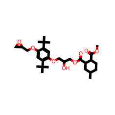 COC(=O)C1CCC(C)CC1C(=O)OCC(O)COc1cc(C(C)(C)C)c(OCC2CO2)cc1C(C)(C)C